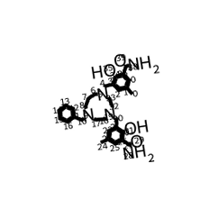 Cc1cc(CN2CCCN(Cc3ccccc3)CCN(Cc3cc(C)cc(C(N)=O)c3O)CC2)c(O)c(C(N)=O)c1